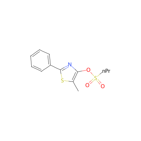 CCCS(=O)(=O)Oc1nc(-c2ccccc2)sc1C